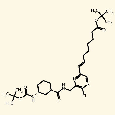 CC(C)(C)OC(=O)CCCCC/C=C/c1cnc(Cl)c(CNC(=O)[C@@H]2CCC[C@@H](NC(=O)OC(C)(C)C)C2)n1